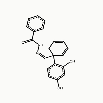 O=C(N/N=C\C1(c2ccc(O)cc2O)C=CC=CC1)c1ccccc1